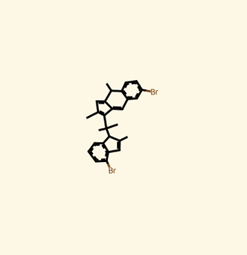 CC1=Cc2c(Br)cccc2C1C(C)(C)C1=C(C)C=C2C1=Cc1cc(Br)ccc1C2C